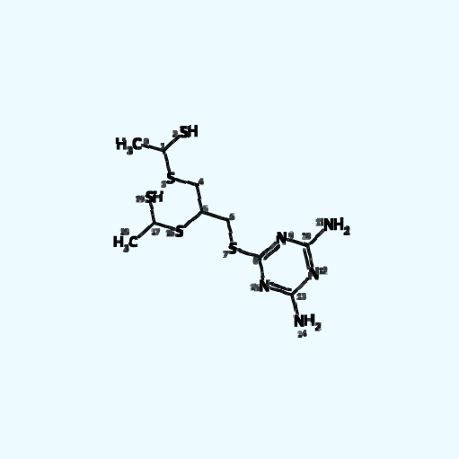 CC(S)SCC(CSc1nc(N)nc(N)n1)SC(C)S